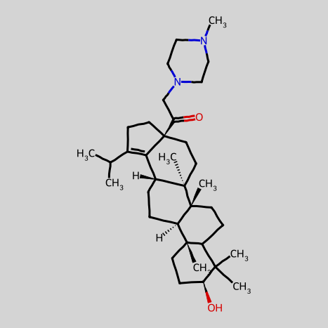 CC(C)C1=C2[C@H]3CC[C@@H]4[C@@]5(C)CC[C@H](O)C(C)(C)C5CC[C@@]4(C)[C@]3(C)CC[C@@]2(C(=O)CN2CCN(C)CC2)CC1